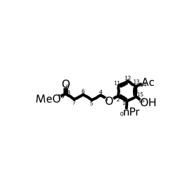 CCCc1c(OCCCCC(=O)OC)ccc(C(C)=O)c1O